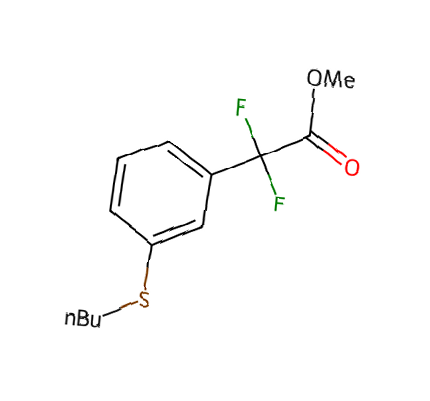 CCCCSc1cccc(C(F)(F)C(=O)OC)c1